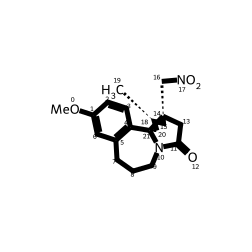 COc1ccc2c(c1)CCCN1C(=O)CC3[C@H](C[N+](=O)[O-])[C@@H](C)C[C@]231